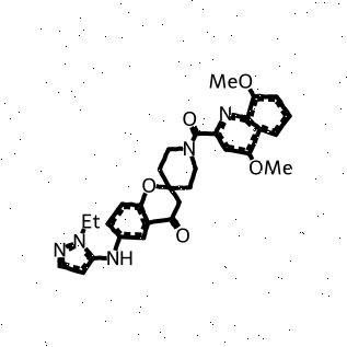 CCn1nccc1Nc1ccc2c(c1)C(=O)CC1(CCN(C(=O)c3cc(OC)c4cccc(OC)c4n3)CC1)O2